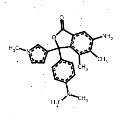 Cc1c(N)cc2c(c1C)C(c1ccc(N(C)C)cc1)(c1ccn(C)c1)OC2=O